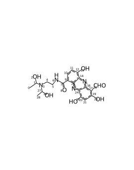 CC(O)N(CCNC(=O)c1ccc(O)c2nc3c(C=O)c(O)cc(O)c3nc12)C(C)O